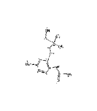 CC(=O)Nc1ccc(O)cc1OCC(C)(O)CO